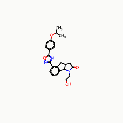 CC(C)Oc1ccc(-c2nc(-c3cccc4c3CC3CC(=O)N(CCO)C43)no2)cc1